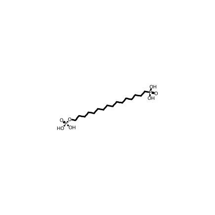 O=P(O)(O)CCCCCCCCCCCCCCCCOP(=O)(O)O